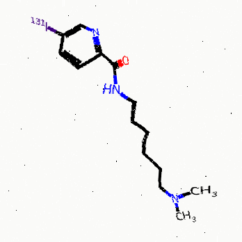 CN(C)CCCCCCNC(=O)c1ccc([131I])cn1